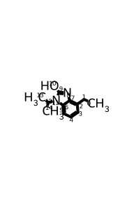 CCc1cccc2c1nc(O)n2C(C)C